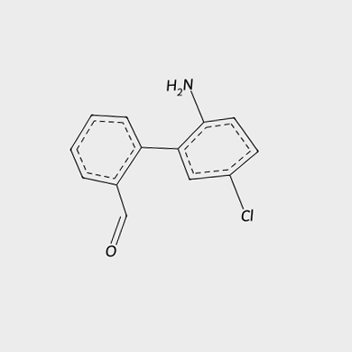 Nc1ccc(Cl)cc1-c1ccccc1C=O